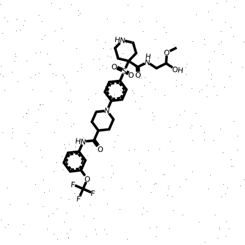 COC(O)CNC(=O)C1(S(=O)(=O)c2ccc(N3CCC(C(=O)Nc4cccc(OC(F)(F)F)c4)CC3)cc2)CCNCC1